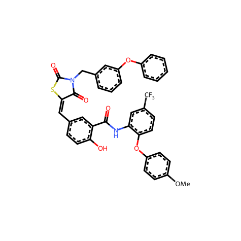 COc1ccc(Oc2ccc(C(F)(F)F)cc2NC(=O)c2cc(C=C3SC(=O)N(Cc4cccc(Oc5ccccc5)c4)C3=O)ccc2O)cc1